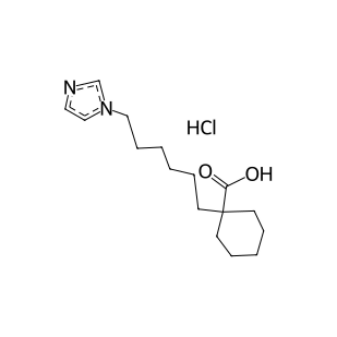 Cl.O=C(O)C1(CCCCCCn2ccnc2)CCCCC1